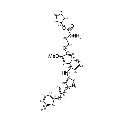 COc1cc2c(Nc3cnn(CC(=O)Nc4cccc(F)c4)c3)ccnc2cc1OCCC(N)C(=O)OC1CCCC1